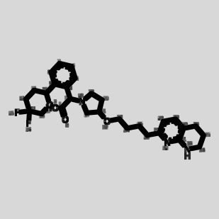 O=C(O)C(c1ccccc1C1CCC(F)(F)CO1)N1CCC(OCCCCc2ccc3c(n2)NCCC3)C1